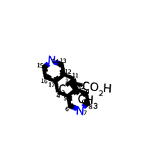 CC1(C(=O)O)CC2c3cnccc3C1c1cnccc12